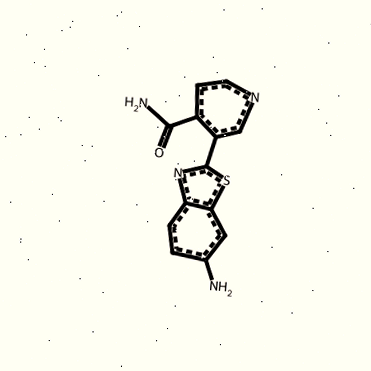 NC(=O)c1ccncc1-c1nc2ccc(N)cc2s1